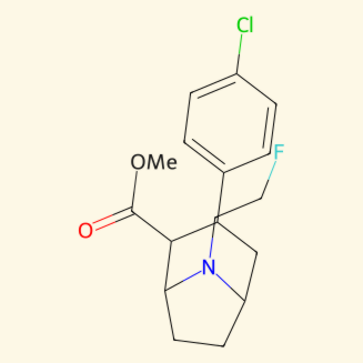 COC(=O)C1C(c2ccc(Cl)cc2)CC2CCC1N2CCF